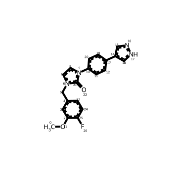 COc1cc(Cn2ccn(-c3ccc(-c4cn[nH]c4)cc3)c2=O)ccc1F